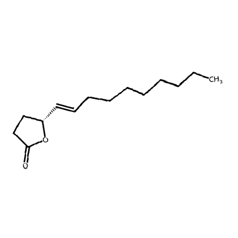 CCCCCCCCC=C[C@H]1CCC(=O)O1